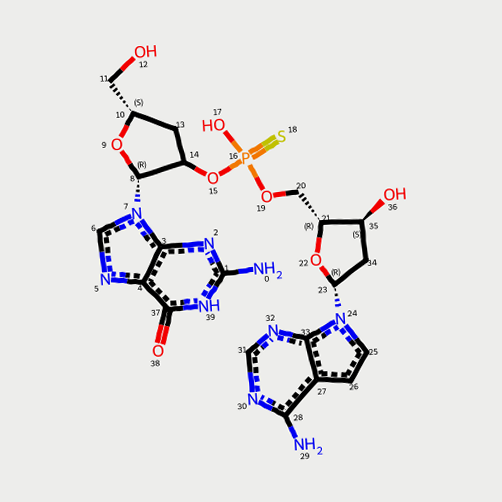 Nc1nc2c(ncn2[C@@H]2O[C@H](CO)CC2OP(O)(=S)OC[C@H]2O[C@@H](n3ccc4c(N)ncnc43)C[C@@H]2O)c(=O)[nH]1